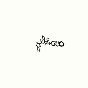 O=C(NC1CNN(Cc2ccccc2)C1)C1CC(C2CNCS2)ON1